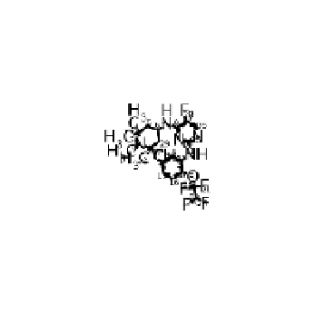 CN1C(C)(C)CC(Nc2nc(Nc3ccccc3OC(F)(F)C(F)F)ncc2F)CC1(C)C